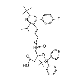 CC(C)c1nc(C(C)(C)C)cc(-c2ccc(F)cc2)c1/C=C/CO[PH](=O)C[C@H](CC(=O)O)O[Si](c1ccccc1)(c1ccccc1)C(C)(C)C